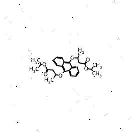 CC(C)OC(=O)CC(C)Oc1c2ccccc2c(OC(C)CC(=O)OC(C)C)c2ccccc12